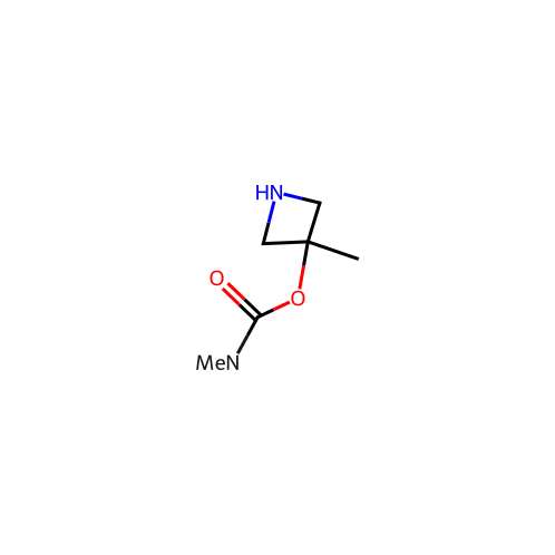 CNC(=O)OC1(C)CNC1